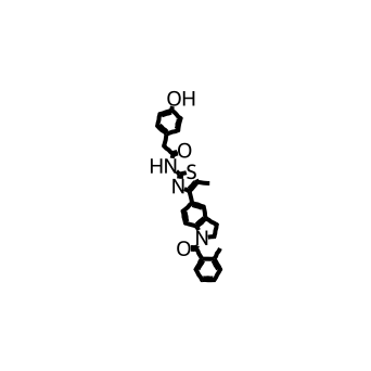 Cc1ccccc1C(=O)N1CCc2cc(-c3nc(NC(=O)Cc4ccc(O)cc4)sc3C)ccc21